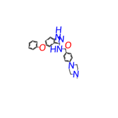 CN1CCN(c2ccc(C(=O)Nc3n[nH]c4ccc(Oc5ccccc5)cc34)cc2)CC1